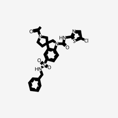 CC(=O)N1CCC2(C1)CN(C(=O)Nc1ncc(Cl)s1)c1ccc(S(=O)(=O)NCc3ccccc3)cc12